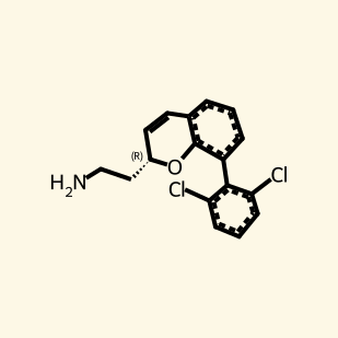 NCC[C@@H]1C=Cc2cccc(-c3c(Cl)cccc3Cl)c2O1